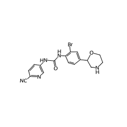 N#Cc1ccc(NC(=O)Nc2ccc(C3CNCCO3)cc2Br)cn1